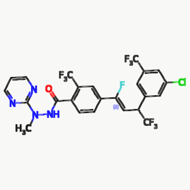 CN(NC(=O)c1ccc(/C(F)=C/C(c2cc(Cl)cc(C(F)(F)F)c2)C(F)(F)F)cc1C(F)(F)F)c1ncccn1